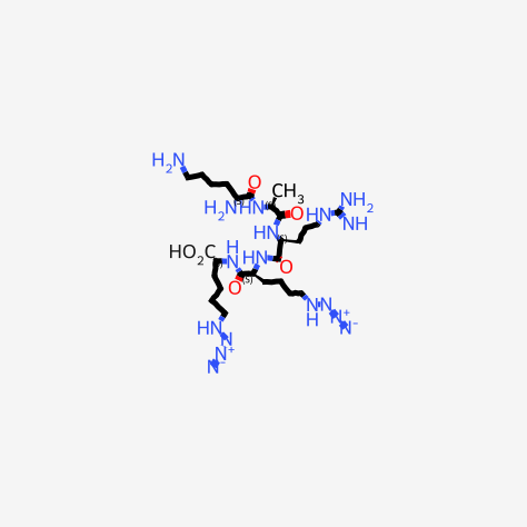 C[C@H](NC(=O)[C@@H](N)CCCCN)C(=O)N[C@@H](CCCNC(=N)N)C(=O)N[C@@H](CCCCNN=[N+]=[N-])C(=O)N[C@@H](CCCCNN=[N+]=[N-])C(=O)O